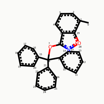 Cc1cccc2c(OC(c3ccccc3)(c3ccccc3)c3ccccc3)noc12